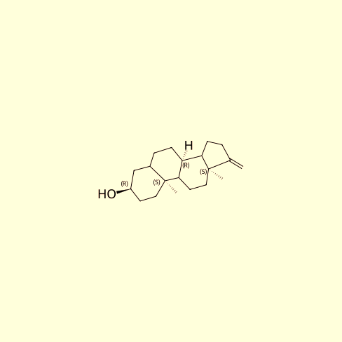 C=C1CCC2[C@@H]3CCC4C[C@H](O)CC[C@]4(C)C3CC[C@]12C